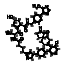 Cc1ncsc1-c1ccc(CNC(=O)C2C[C@@H](O)CN2C(=O)C(NC(=O)CCCn2cc(-c3ccc(-c4cncc(Cl)c4N4CCC5(CCNC5=O)CC4)cc3)cn2)C(C)(C)C)cc1